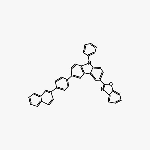 c1ccc(-n2c3ccc(-c4ccc(-c5ccc6ccccc6c5)cc4)cc3c3cc(-c4nc5ccccc5o4)ccc32)cc1